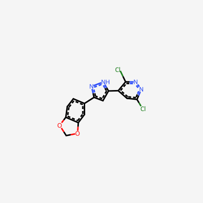 Clc1cc(-c2cc(-c3ccc4c(c3)OCO4)n[nH]2)c(Cl)nn1